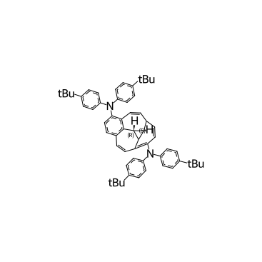 CC(C)(C)c1ccc(N(C2=C3C=Cc4ccc(N(c5ccc(C(C)(C)C)cc5)c5ccc(C(C)(C)C)cc5)c5c4[C@H]4C3[C@H]4C(C=C2)C=C5)c2ccc(C(C)(C)C)cc2)cc1